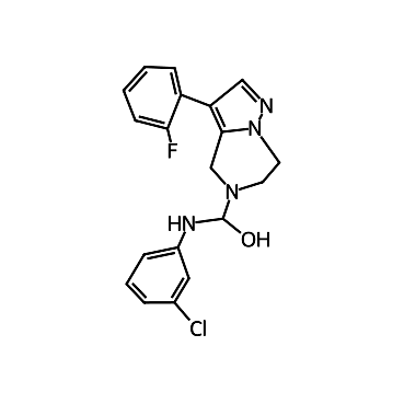 OC(Nc1cccc(Cl)c1)N1CCn2ncc(-c3ccccc3F)c2C1